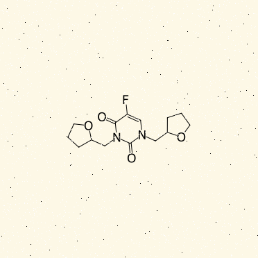 O=c1c(F)cn(CC2CCCO2)c(=O)n1CC1CCCO1